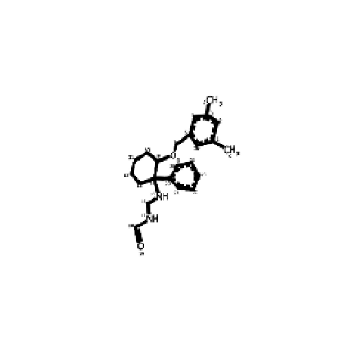 Cc1cc(C)cc(COC2CCCCC2(NCNC=O)c2ccccc2)c1